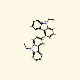 CCn1c2ccccc2c2cc(-c3cccc4c3c3ccccc3n4CC)ccc21